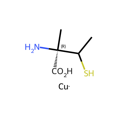 CC(S)[C@](C)(N)C(=O)O.[Cu]